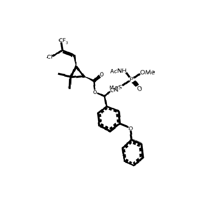 CC1(C)[C@H](C(=O)OC(C#N)c2cccc(Oc3ccccc3)c2)[C@@H]1/C=C(\Cl)C(F)(F)F.COP(=O)(NC(C)=O)SC